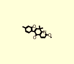 COc1ccc2c(n1)C(C)(C)c1oc3cc(C)ccc3c1C2=O